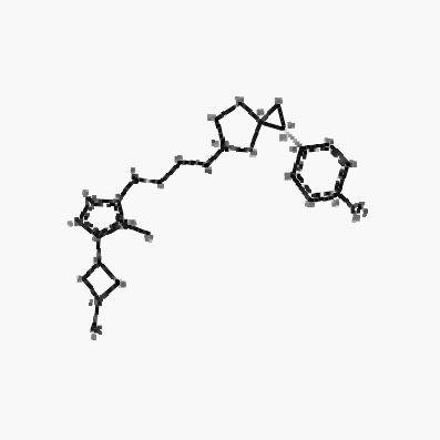 CC(=O)N1CC(c2nnc(SCCCN3CCC4(C[C@@H]4c4ccc(C(F)(F)F)cc4)C3)n2C)C1